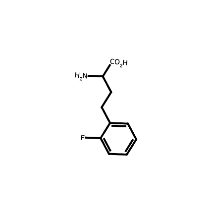 NC(CCc1ccccc1F)C(=O)O